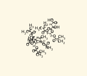 C=C(C)C(=O)OCC(COC(=O)C(=C)C)OC(=O)C(O)CC(=O)O.C=C(C)C(=O)OCCC(CCOC(=O)C(=C)C)(OC(N)=O)C(C)(C)CC(C)CCOC(N)=O